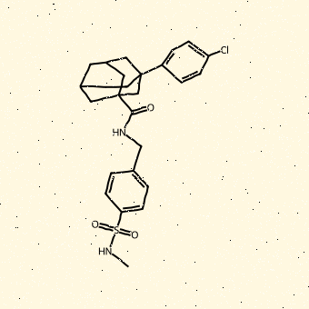 CNS(=O)(=O)c1ccc(CNC(=O)C23CC4CC(C2)CC(c2ccc(Cl)cc2)(C4)C3)cc1